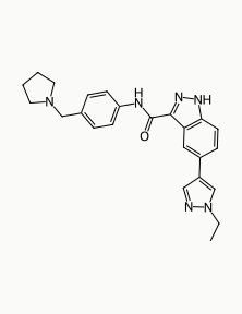 CCn1cc(-c2ccc3[nH]nc(C(=O)Nc4ccc(CN5CCCC5)cc4)c3c2)cn1